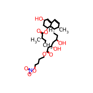 CC[C@H](C)C(=O)O[C@H]1C[C@H](O)C=C2C=C[C@H](C)[C@H](CCC(O)C[C@H](O)CC(=O)OCCCCO[N+](=O)[O-])[C@H]21